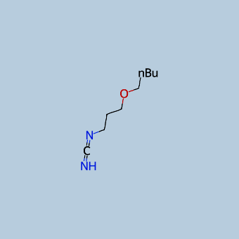 CCCCCOCCCN=C=N